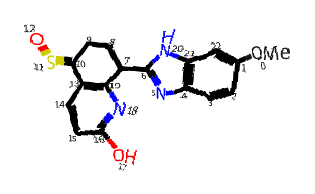 COc1ccc2nc(C3CCC(=S=O)c4ccc(O)nc43)[nH]c2c1